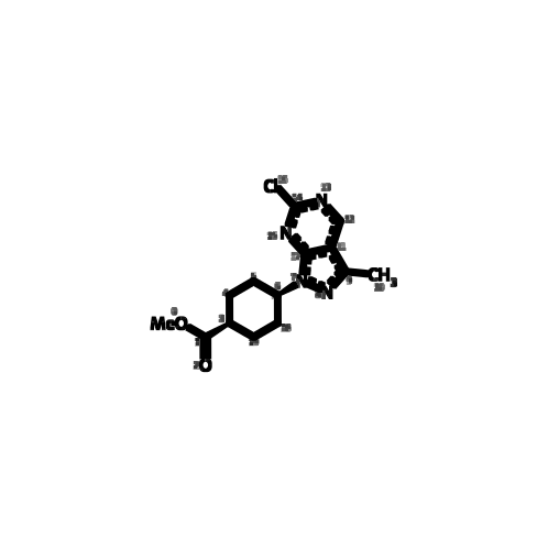 COC(=O)[C@H]1CC[C@@H](n2nc(C)c3cnc(Cl)nc32)CC1